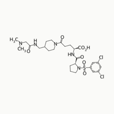 CN(C)CC(=O)NCC1CCN(C(=O)CC[C@H](NC(=O)[C@@H]2CCCN2S(=O)(=O)c2cc(Cl)cc(Cl)c2)C(=O)O)CC1